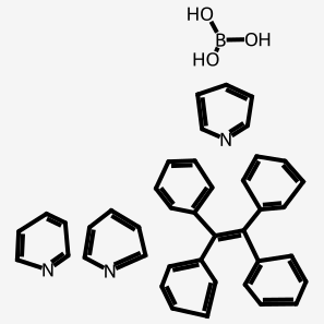 OB(O)O.c1ccc(C(=C(c2ccccc2)c2ccccc2)c2ccccc2)cc1.c1ccncc1.c1ccncc1.c1ccncc1